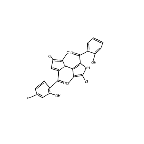 O=C(c1ccccc1O)c1[nH]c(Cl)c(Cl)c1-n1c(C(=O)c2ccc(F)cc2O)cc(Cl)c1Cl